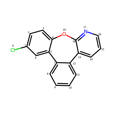 Clc1ccc2c(c1)-c1ccccc1-c1cccnc1O2